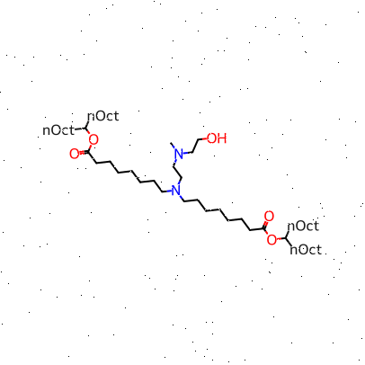 CCCCCCCCC(CCCCCCCC)OC(=O)CCCCCCCN(CCCCCCCC(=O)OC(CCCCCCCC)CCCCCCCC)CCN(C)CCO